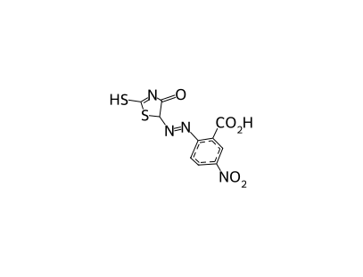 O=C(O)c1cc([N+](=O)[O-])ccc1N=NC1SC(S)=NC1=O